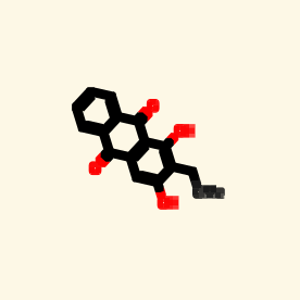 COCc1c(O)cc2c(c1O)C(=O)c1ccccc1C2=O